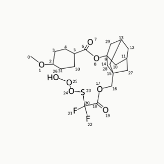 COC1CCC(C(=O)OC23CC4CC(CC(COC(=O)C(F)(F)SOOO)(C4)C2)C3)CC1